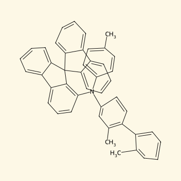 Cc1ccc(N(c2ccc(-c3ccccc3C)c(C)c2)c2cccc3c2C2(c4ccccc4-c4ccccc42)c2ccccc2-3)cc1